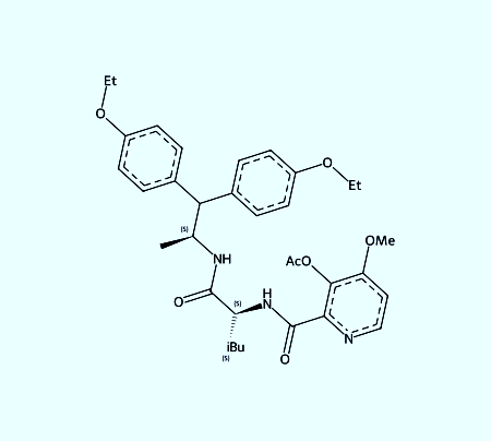 CCOc1ccc(C(c2ccc(OCC)cc2)[C@H](C)NC(=O)[C@@H](NC(=O)c2nccc(OC)c2OC(C)=O)[C@@H](C)CC)cc1